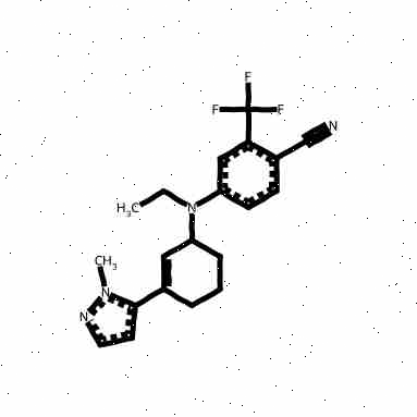 CCN(c1ccc(C#N)c(C(F)(F)F)c1)C1C=C(c2ccnn2C)CCC1